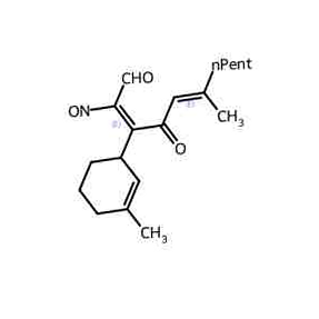 CCCCC/C(C)=C/C(=O)/C(=C(\C=O)N=O)C1C=C(C)CCC1